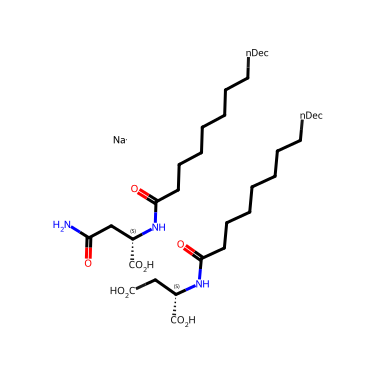 CCCCCCCCCCCCCCCCCC(=O)N[C@@H](CC(=O)O)C(=O)O.CCCCCCCCCCCCCCCCCC(=O)N[C@@H](CC(N)=O)C(=O)O.[Na]